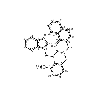 COc1cc(CN(CCCn2cnc3ccccc32)Cc2cnc3ccccn3c2=O)ccn1